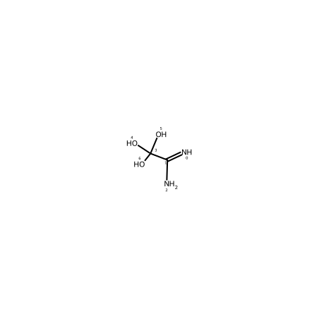 N=C(N)C(O)(O)O